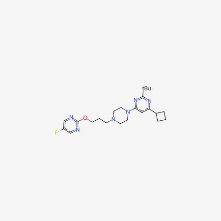 CC(C)(C)c1nc(C2CCC2)cc(N2CCN(CCCOc3ncc(F)cn3)CC2)n1